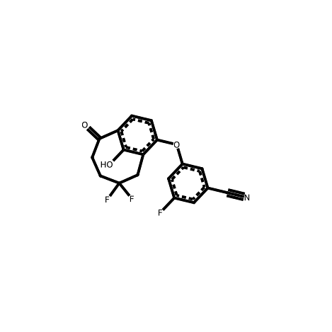 N#Cc1cc(F)cc(Oc2ccc3c(O)c2CC(F)(F)CCC3=O)c1